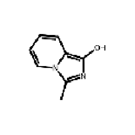 Cc1nc(O)c2ccccn12